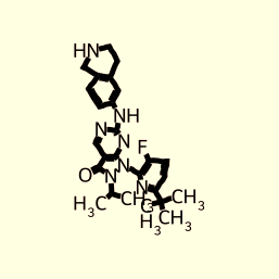 CC(C)n1c(=O)c2cnc(Nc3ccc4c(c3)CCNC4)nc2n1-c1nc(C(C)(C)C)ccc1F